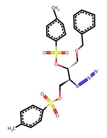 Cc1ccc(S(=O)(=O)OC[C@H](N=[N+]=[N-])[C@@H](COCc2ccccc2)OS(=O)(=O)c2ccc(C)cc2)cc1